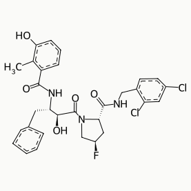 Cc1c(O)cccc1C(=O)N[C@@H](Cc1ccccc1)[C@H](O)C(=O)N1C[C@H](F)C[C@H]1C(=O)NCc1ccc(Cl)cc1Cl